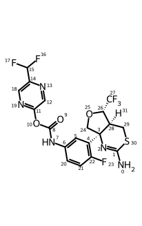 NC1=N[C@@]2(c3cc(NC(=O)Oc4cnc(C(F)F)cn4)ccc3F)CO[C@H](C(F)(F)F)[C@H]2CS1